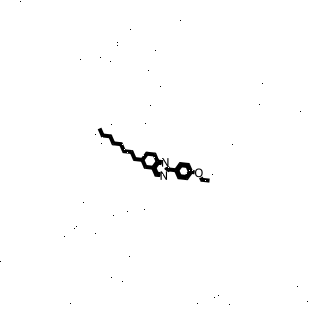 CCCCCCCCC1CCc2nc(-c3ccc(OCC)cc3)ncc2C1